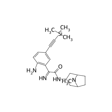 CN1C2CCC1CC(NC(=O)C(=N)c1cc(C#C[Si](C)(C)C)ccc1N)C2